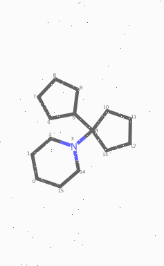 C1CCN(C2(C3CCCC3)CCCC2)CC1